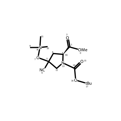 COC(=O)[C@@H]1CC(C#N)(O[Si](C)(C)C)CN1C(=O)OC(C)(C)C